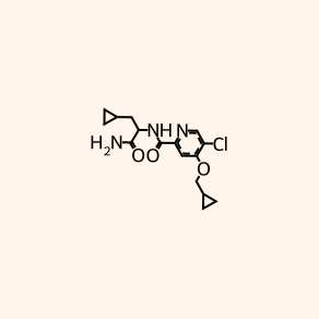 NC(=O)C(CC1CC1)NC(=O)c1cc(OCC2CC2)c(Cl)cn1